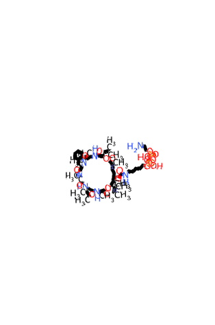 C/C=C(\C)[C@H]1OC(=O)[C@@H](C)NC(=O)[C@H](C(C)CC)NC(=O)CN(C)C(=O)[C@@H](Cc2ccccc2)N(C)C(=O)[C@H](C)NC(=O)[C@@H](CC(C)C)OC(=O)/C(C)=C/C[C@H](OC(=O)NCCCCCOP(=O)(O)OP(=O)(O)OCCN)[C@@H]1C